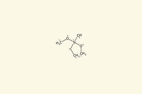 [CH][Si](CC)(OC)OC